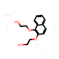 OCCOc1ccc2ccccc2c1OCCO